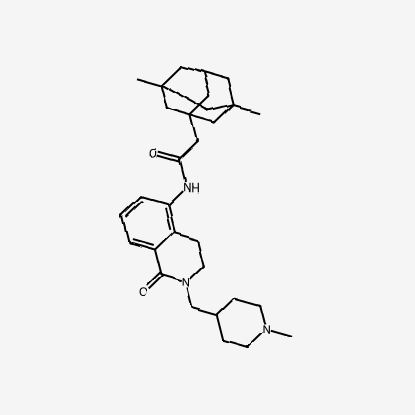 CN1CCC(CN2CCc3c(NC(=O)CC45CC6CC(C)(CC(C)(C6)C4)C5)cccc3C2=O)CC1